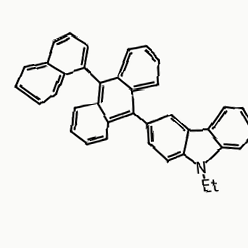 CCn1c2ccccc2c2cc(-c3c4ccccc4c(-c4cccc5ccccc45)c4ccccc34)ccc21